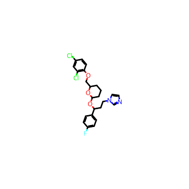 Fc1ccc(C(CCn2ccnc2)OC2CCCC(COc3ccc(Cl)cc3Cl)O2)cc1